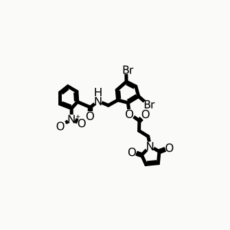 O=C(CCN1C(=O)C=CC1=O)Oc1c(Br)cc(Br)cc1CNC(=O)c1ccccc1[N+](=O)[O-]